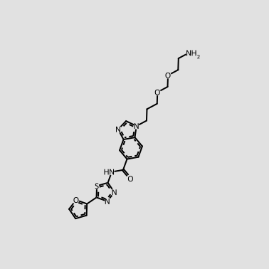 NCCOCOCCCn1cnc2cc(C(=O)Nc3nnc(-c4ccco4)s3)ccc21